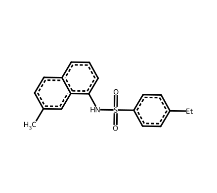 CCc1ccc(S(=O)(=O)Nc2cccc3ccc(C)cc23)cc1